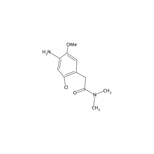 COc1cc(CC(=O)N(C)C)c(Cl)cc1N